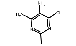 Cc1nc(N)c(N)c(Cl)n1